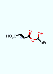 CCCC(O)OC(=O)/C=C/C(=O)O